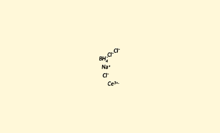 [BH4-].[Ce+3].[Cl-].[Cl-].[Cl-].[Na+]